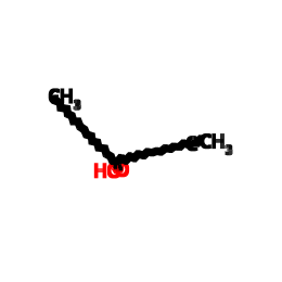 CCCCCCCCCCCCCCCCCC/C=C/C(=C\CCCCCCCCCCCCCCCCCCC)C(=O)O